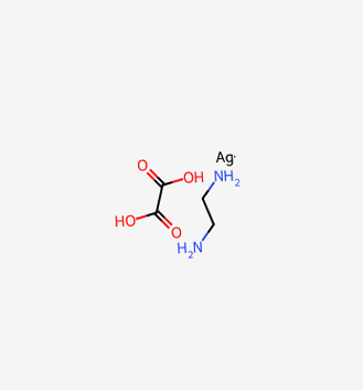 NCCN.O=C(O)C(=O)O.[Ag]